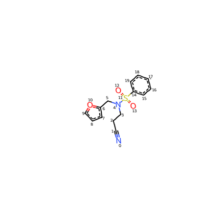 N#CCCN(Cc1ccco1)S(=O)(=O)c1cc[c]cc1